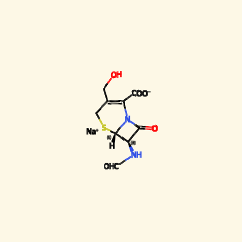 O=CN[C@@H]1C(=O)N2C(C(=O)[O-])=C(CO)CS[C@@H]12.[Na+]